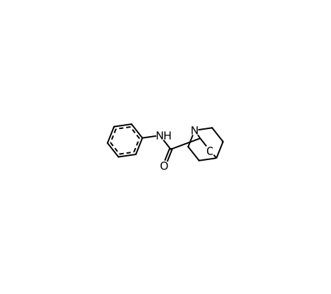 O=C(Nc1ccccc1)C1CC2CCN1CC2